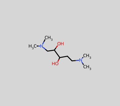 CN(C)CCC(O)C(O)CN(C)C